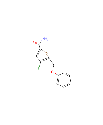 NC(=O)c1cc(F)c([CH]Oc2ccccc2)s1